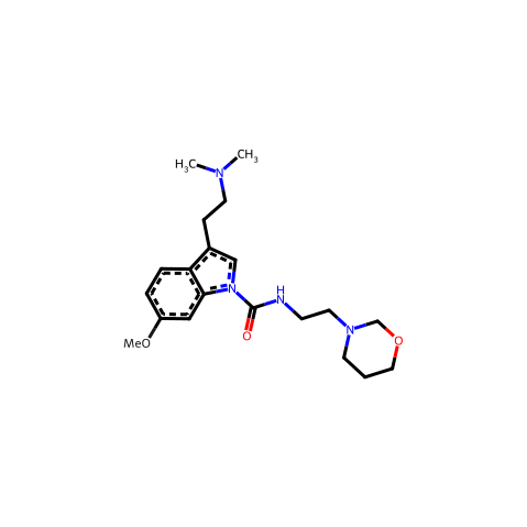 COc1ccc2c(CCN(C)C)cn(C(=O)NCCN3CCCOC3)c2c1